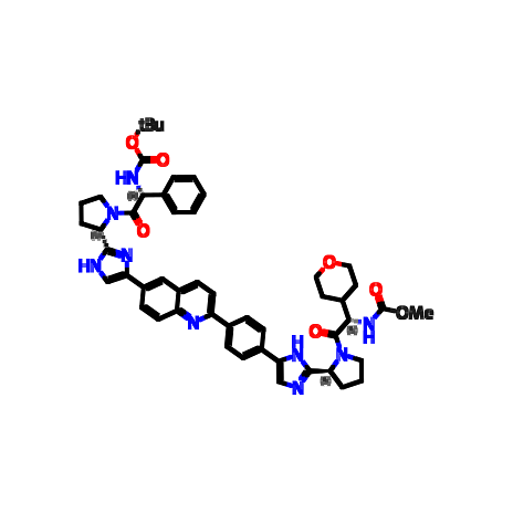 COC(=O)N[C@H](C(=O)N1CCC[C@H]1c1ncc(-c2ccc(-c3ccc4cc(-c5c[nH]c([C@@H]6CCCN6C(=O)[C@H](NC(=O)OC(C)(C)C)c6ccccc6)n5)ccc4n3)cc2)[nH]1)C1CCOCC1